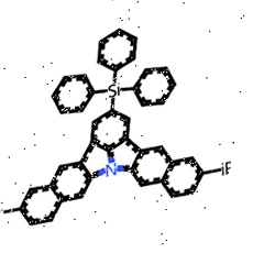 CC(C)c1ccc2cc3c(cc2c1)c1cc([Si](c2ccccc2)(c2ccccc2)c2ccccc2)cc2c4cc5cc(C(C)C)ccc5cc4n3c12